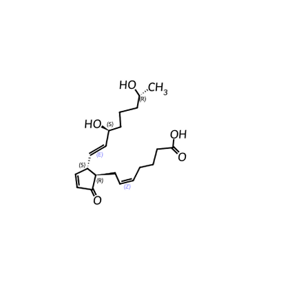 C[C@@H](O)CCC[C@H](O)/C=C/[C@H]1C=CC(=O)[C@@H]1C/C=C\CCCC(=O)O